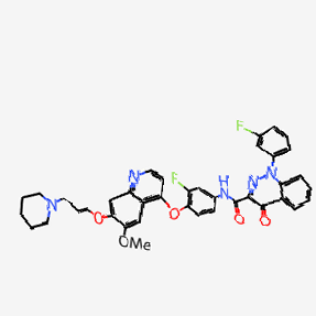 COc1cc2c(Oc3ccc(NC(=O)c4nn(-c5cccc(F)c5)c5ccccc5c4=O)cc3F)ccnc2cc1OCCCN1CCCCC1